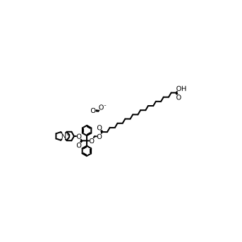 O=C(O)CCCCCCCCCCCCCCCCCCC(=O)OCOC(C(=O)OC1CC2CCC(C1)[N+]21CCCC1)(c1ccccc1)c1ccccc1.O=C[O-]